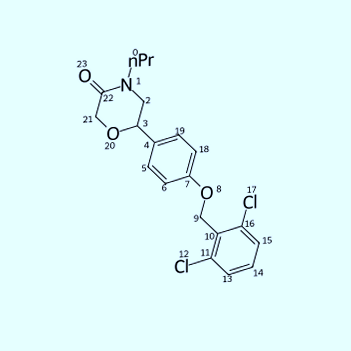 CCCN1CC(c2ccc(OCc3c(Cl)cccc3Cl)cc2)OCC1=O